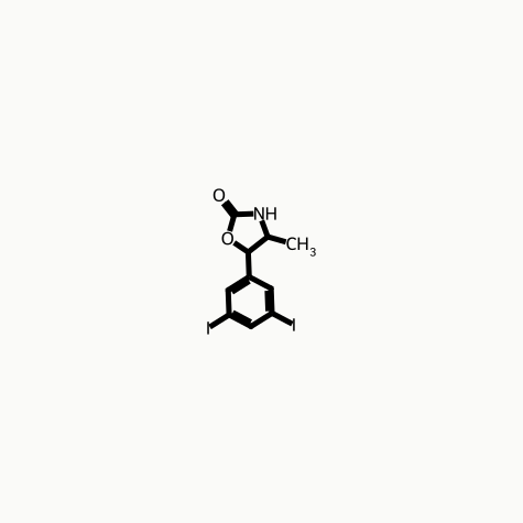 CC1NC(=O)OC1c1cc(I)cc(I)c1